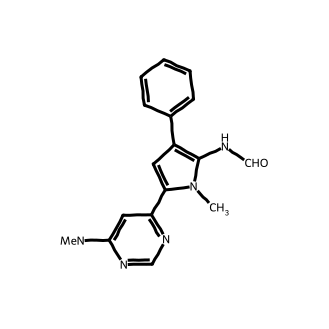 CNc1cc(-c2cc(-c3ccccc3)c(NC=O)n2C)ncn1